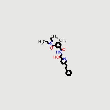 CCCN(CCC)C(=O)c1cc(C)cc(C(=O)NCC(O)c2ccc(CCc3ccccc3)cn2)c1